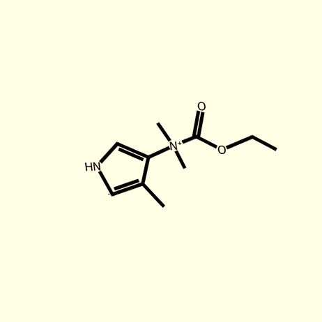 CCOC(=O)[N+](C)(C)c1c[nH][c]c1C